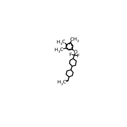 C=CC1CCC(C2CCC(C(F)(F)Oc3cc(C)c(C)c(C)c3)CC2)CC1